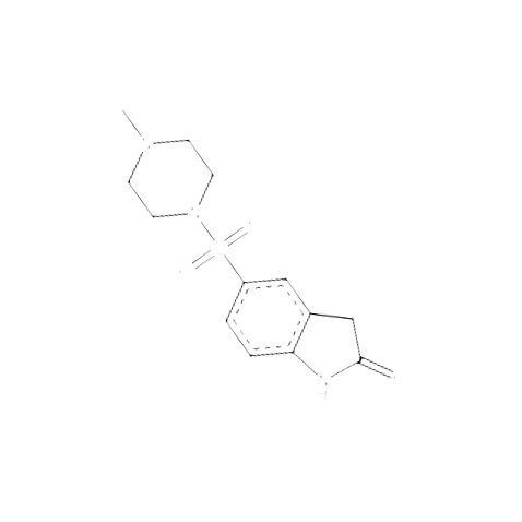 CN1CCN(S(=O)(=O)c2ccc3c(c2)CC(=O)N3)CC1